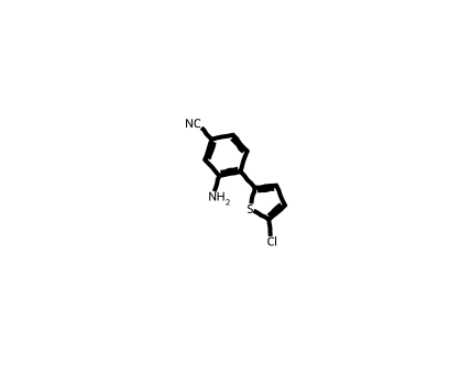 N#Cc1ccc(-c2ccc(Cl)s2)c(N)c1